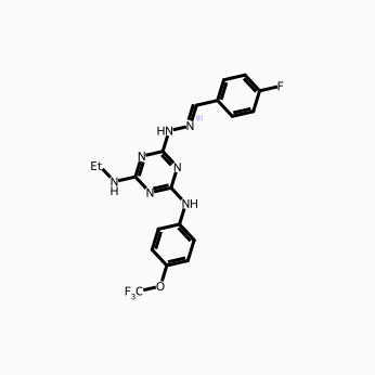 CCNc1nc(N/N=C/c2ccc(F)cc2)nc(Nc2ccc(OC(F)(F)F)cc2)n1